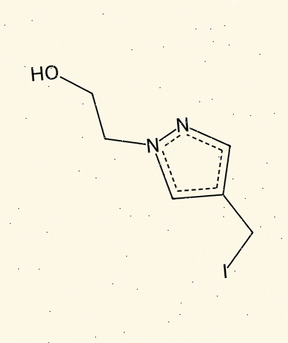 OCCn1cc(CI)cn1